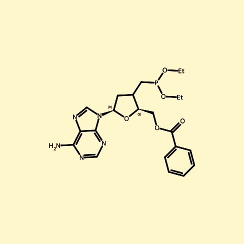 CCOP(CC1C[C@H](n2cnc3c(N)ncnc32)O[C@@H]1COC(=O)c1ccccc1)OCC